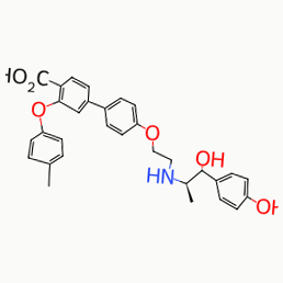 Cc1ccc(Oc2cc(-c3ccc(OCCN[C@H](C)[C@H](O)c4ccc(O)cc4)cc3)ccc2C(=O)O)cc1